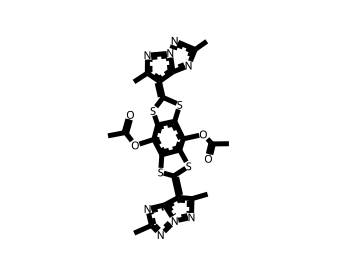 CC(=O)Oc1c2c(c(OC(C)=O)c3c1SC(=c1c(C)nn4nc(C)nc14)S3)SC(=c1c(C)nn3nc(C)nc13)S2